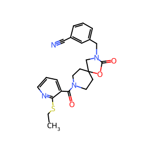 CCSc1ncccc1C(=O)N1CCC2(CC1)CN(Cc1cccc(C#N)c1)C(=O)O2